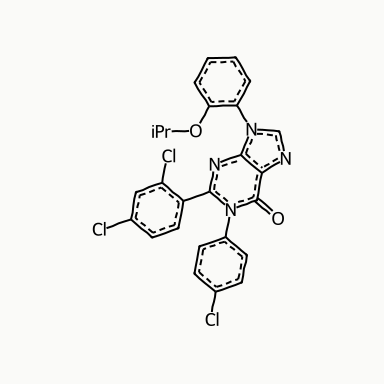 CC(C)Oc1ccccc1-n1cnc2c(=O)n(-c3ccc(Cl)cc3)c(-c3ccc(Cl)cc3Cl)nc21